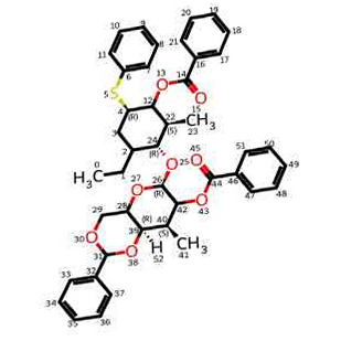 CCC1C[C@@H](Sc2ccccc2)C(OC(=O)c2ccccc2)[C@@H](C)[C@@H]1O[C@@H]1OC2COC(c3ccccc3)O[C@@H]2[C@H](C)C1OC(=O)c1ccccc1